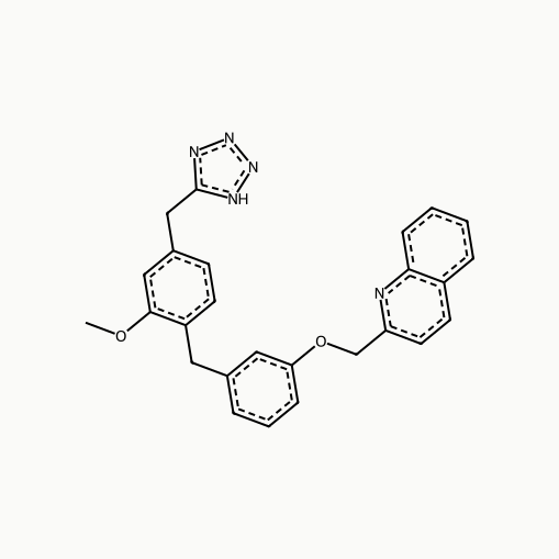 COc1cc(Cc2nnn[nH]2)ccc1Cc1cccc(OCc2ccc3ccccc3n2)c1